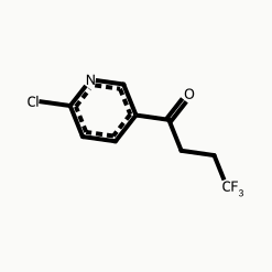 O=C(CCC(F)(F)F)c1ccc(Cl)nc1